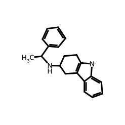 CC(NC1CCC2=C(C1)c1ccccc1[N]2)c1ccccc1